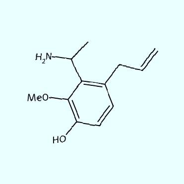 C=CCc1ccc(O)c(OC)c1C(C)N